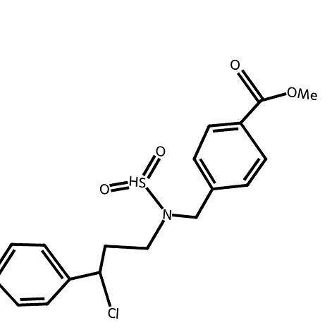 COC(=O)c1ccc(CN(CCC(Cl)c2ccccc2)[SH](=O)=O)cc1